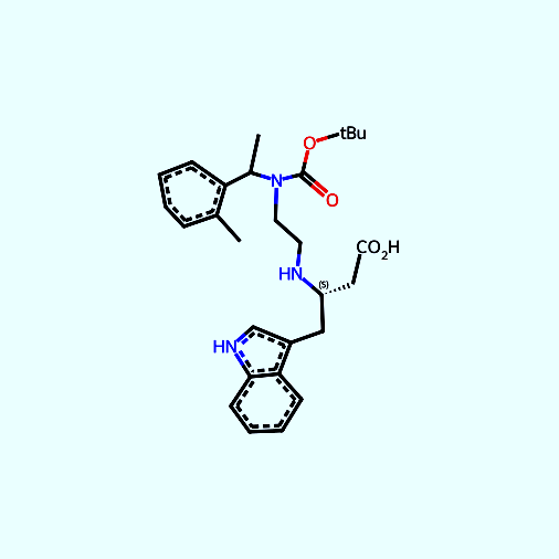 Cc1ccccc1C(C)N(CCN[C@H](CC(=O)O)Cc1c[nH]c2ccccc12)C(=O)OC(C)(C)C